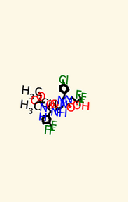 COC(=O)C(C)(C)NC(=O)C(NC(=O)Cn1nc(-c2ccc(Cl)cc2)n(C[C@H](O)C(F)(F)F)c1=O)c1cccc(C(F)(F)F)c1